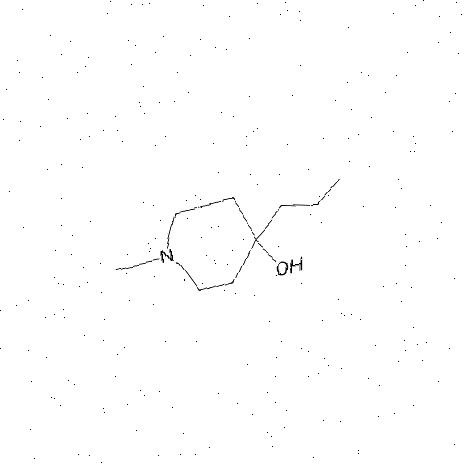 CCCC1(O)CCN(C)CC1